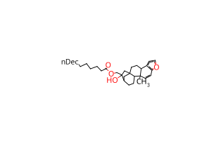 CCCCCCCCCCCCCCCC(=O)OCC1(O)CC23CCC4c5ccoc5C=CC4(C)C2CCC1C3